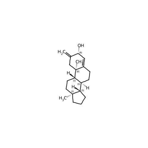 C=C1C[C@@]2(C)C(=C[C@H]1O)CC[C@H]1[C@@H]3CCC[C@@]3(C)CC[C@@H]12